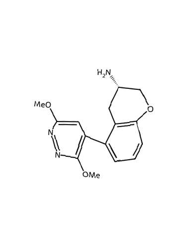 COc1cc(-c2cccc3c2C[C@H](N)CO3)c(OC)nn1